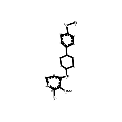 CCOc1ccc(C2CCC(Nc3ccnc(CC)c3OC)CC2)cc1